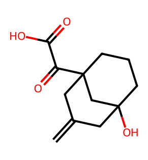 C=C1CC2(O)CCCC(C(=O)C(=O)O)(C1)C2